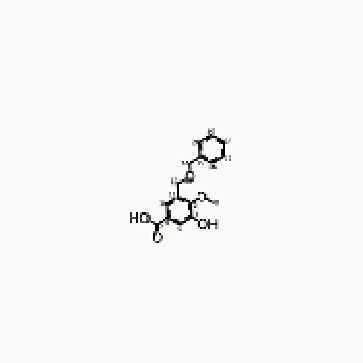 COc1c(O)cc(C(=O)O)cc1COCc1ccccc1